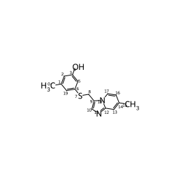 Cc1cc(O)cc(SCc2cnc3cc(C)ccn23)c1